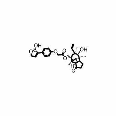 C=C[C@]1(C)C[C@@H](OC(=O)COc2ccc(C3=CCOB3O)cc2)[C@]2(C)[C@H](C)CC[C@]3(CCC(=O)[C@H]32)[C@@H](C)[C@@H]1O